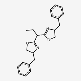 CCC(C1=NC(Cc2ccccc2)CO1)C1=NC(Cc2ccccc2)CO1